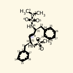 CN(C)S(=O)(=O)N[C@H](/C=C/[C@H](Cc1ccccc1)NS(C)(=O)=O)Cc1ccccc1